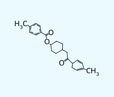 CC1=CCC(C(=O)CC2CCC(OC(=O)c3ccc(C)cc3)CC2)C=C1